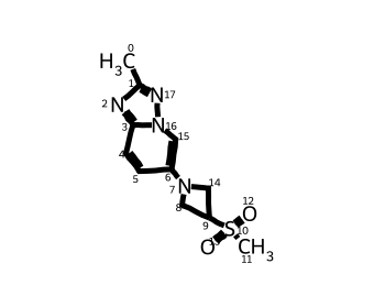 Cc1nc2ccc(N3CC(S(C)(=O)=O)C3)cn2n1